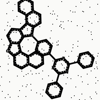 c1ccc(-c2nc(-c3ccccc3)nc(-c3ccc(-n4c5ccc6ccccc6c5c5ccc6oc7ccc8ccccc8c7c6c54)cc3)n2)cc1